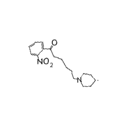 O=C(CCCCCN1CC[CH]CC1)c1ccccc1[N+](=O)[O-]